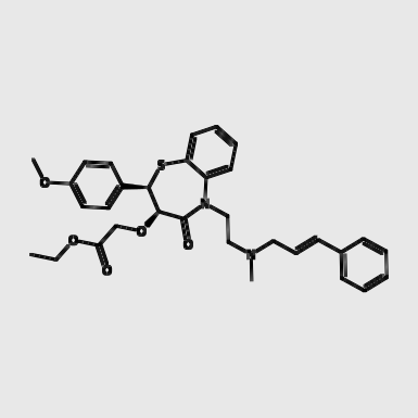 CCOC(=O)CO[C@@H]1C(=O)N(CCN(C)CC=Cc2ccccc2)c2ccccc2S[C@@H]1c1ccc(OC)cc1